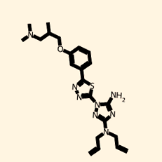 C=CCN(CC=C)c1nc(N)n(-c2nnc(-c3cccc(OCC(C)CN(C)C)c3)s2)n1